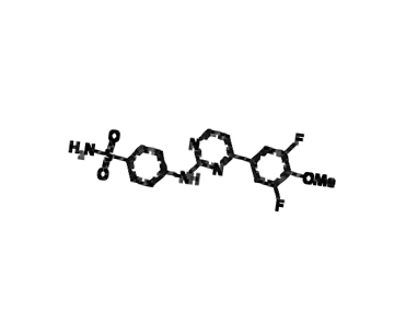 COc1c(F)cc(-c2ccnc(Nc3ccc(S(N)(=O)=O)cc3)n2)cc1F